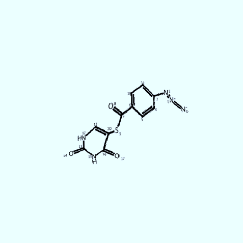 [N-]=[N+]=Nc1ccc(C(=O)Sc2c[nH]c(=O)[nH]c2=O)cc1